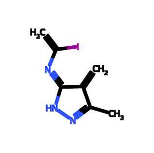 C=C(I)/N=C1/NN=C(C)C1=C